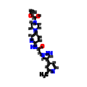 Cc1cc(C2=CN(CC(=O)Nc3ccc(N4CCN(C(=O)OC(C)(C)C)CC4)cn3)NC2)ccn1